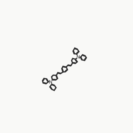 C1=CC(N(C2=CC=C(C=Cc3ccc(C=CC4=CC=C(N(c5ccccc5)c5ccccc5)CC4)cc3)CC2)c2ccccc2)=CCC1